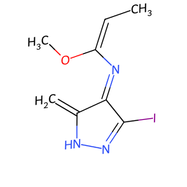 C=C1NN=C(I)/C1=N/C(=C\C)OC